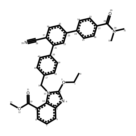 CCOc1nc2cccc(C(=O)OC)c2n1Cc1ccc(-c2cc(-c3ccc(C(=O)N(C)C)cc3)ccc2C#N)cc1